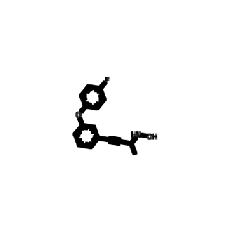 CC(C#Cc1cccc(Oc2ccc(F)cc2)c1)NO